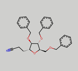 N#CCC[C@H]1O[C@H](COCc2ccccc2)[C@@H](OCc2ccccc2)[C@@H]1OCc1ccccc1